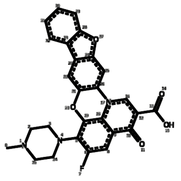 CN1CCN(c2c(F)cc3c(=O)c(C(=O)O)cn4c3c2Oc2cc3c(cc2-4)oc2ccccc23)CC1